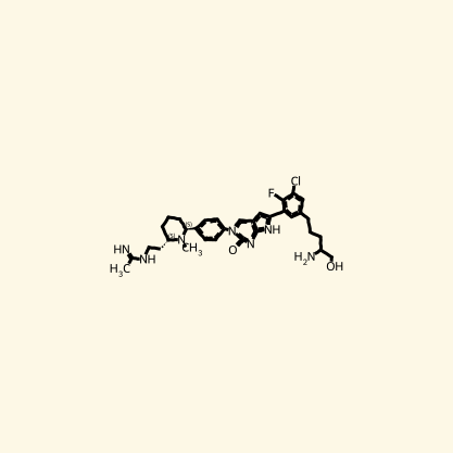 CC(=N)NCC[C@@H]1CCC[C@@H](c2ccc(-n3cc4cc(-c5cc(CCCC(N)CO)cc(Cl)c5F)[nH]c4nc3=O)cc2)N1C